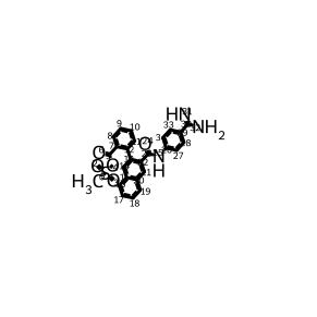 CS(=O)(=O)OC(=O)c1ccccc1-c1cc2ccccc2cc1C(=O)Nc1ccc(C(=N)N)cc1